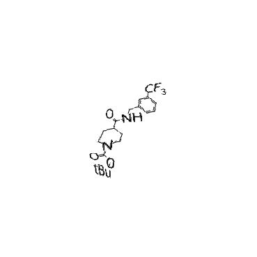 CC(C)(C)OC(=O)N1CCC(C(=O)NCc2cccc(C(F)(F)F)c2)CC1